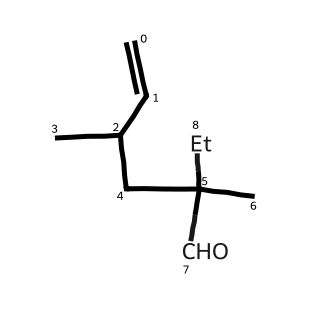 C=CC(C)CC(C)(C=O)CC